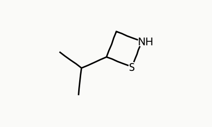 CC(C)C1CNS1